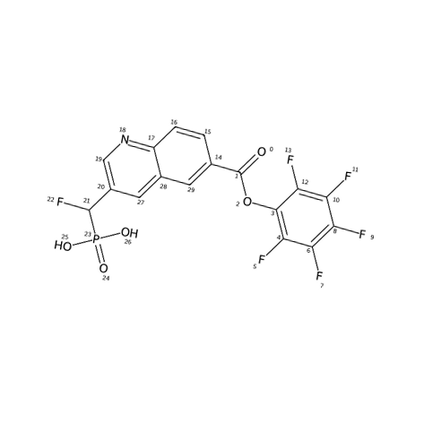 O=C(Oc1c(F)c(F)c(F)c(F)c1F)c1ccc2ncc(C(F)P(=O)(O)O)cc2c1